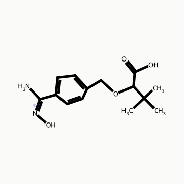 CC(C)(C)C(OCc1ccc(/C(N)=N\O)cc1)C(=O)O